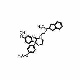 COc1ccc(C2(c3ccc(OC)cc3)CCCN(CCN(C)C3Cc4ccccc4C3)C2=O)cc1